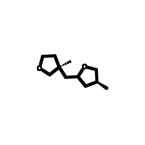 C[C@@H]1COC(C[C@]2(C)CCOC2)C1